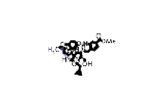 C=C1/C(=C\C(Cl)=C/C)NC(=O)[C@@]12[C@H](c1cccc(Cl)c1F)[C@@H](NCc1ccc(C(=O)OC)cc1[N+](=O)[O-])[C@@H](CO)N2CCC1CC1